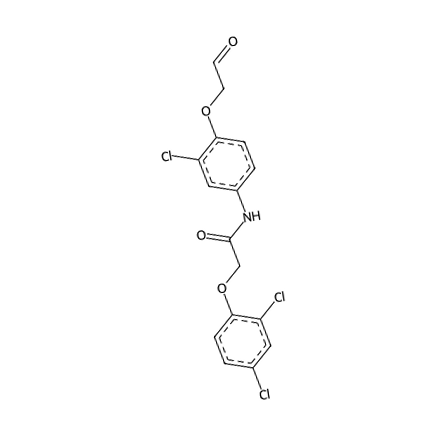 O=CCOc1ccc(NC(=O)COc2ccc(Cl)cc2Cl)cc1Cl